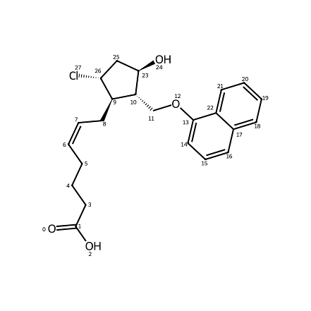 O=C(O)CCC/C=C\C[C@@H]1[C@@H](COc2cccc3ccccc23)[C@H](O)C[C@H]1Cl